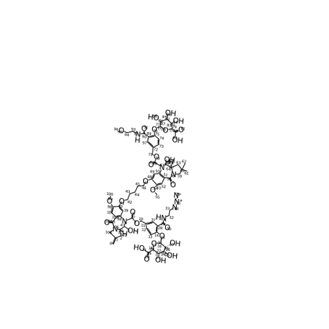 C=C1C[C@H]2C(O)N(C(=O)OCc3ccc(O[C@@H]4O[C@H](C(=O)O)[C@@H](O)[C@H](O)[C@H]4O)c(C(=O)NCCN=[N+]=[N-])c3)c3cc(OCCCCCOc4cc5c(cc4OC)C(=O)N4CC(C)(C)C[C@H]4C(O)N5C(=O)OCc4ccc(O[C@@H]5O[C@H](C(=O)O)[C@@H](O)[C@H](O)[C@H]5O)c(C(=O)NCCOC)c4)c(OC)cc3C(=O)N2C1